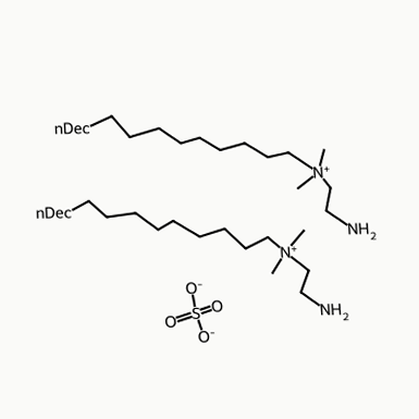 CCCCCCCCCCCCCCCCCCC[N+](C)(C)CCN.CCCCCCCCCCCCCCCCCCC[N+](C)(C)CCN.O=S(=O)([O-])[O-]